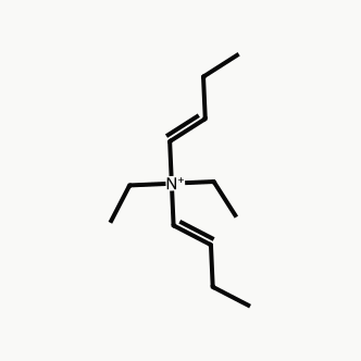 CC/C=C/[N+](/C=C/CC)(CC)CC